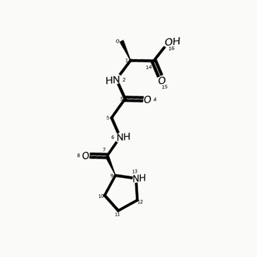 C[C@H](NC(=O)CNC(=O)[C@@H]1CCCN1)C(=O)O